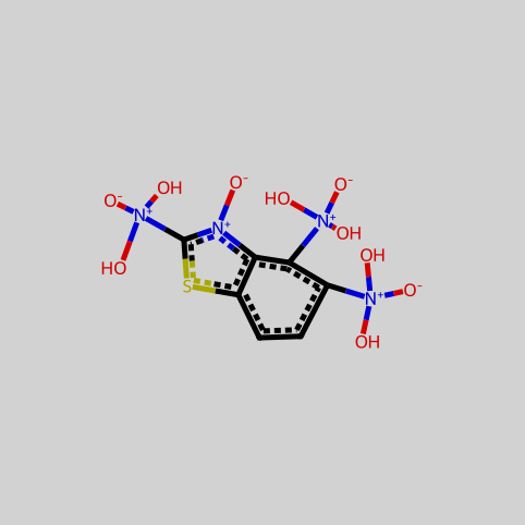 [O-][n+]1c([N+]([O-])(O)O)sc2ccc([N+]([O-])(O)O)c([N+]([O-])(O)O)c21